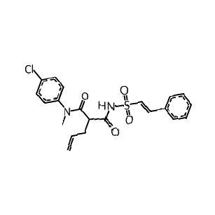 C=CCC(C(=O)NS(=O)(=O)C=Cc1ccccc1)C(=O)N(C)c1ccc(Cl)cc1